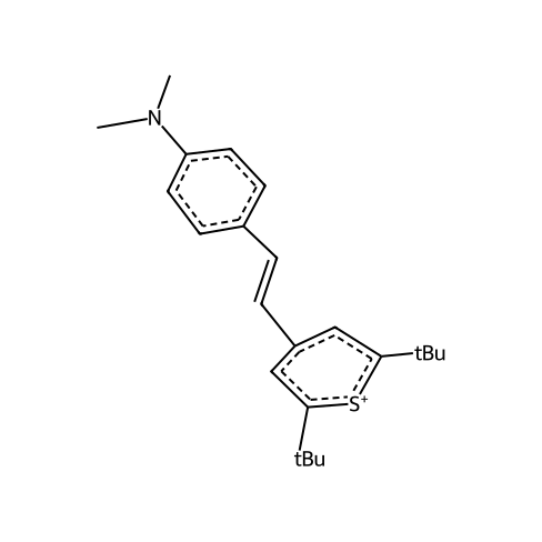 CN(C)c1ccc(C=Cc2cc(C(C)(C)C)[s+]c(C(C)(C)C)c2)cc1